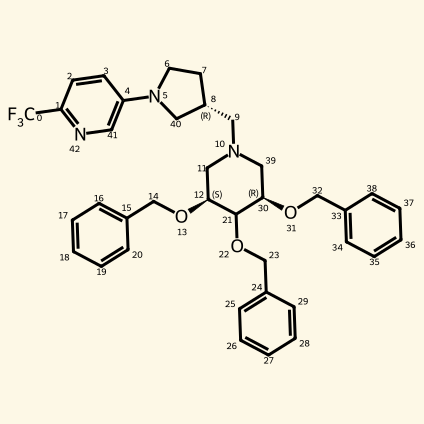 FC(F)(F)c1ccc(N2CC[C@H](CN3C[C@H](OCc4ccccc4)C(OCc4ccccc4)[C@H](OCc4ccccc4)C3)C2)cn1